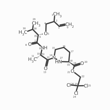 C=CC(C)CO[C@H](C(=O)N[C@@H](C)C(=O)N1CCC[C@@H](C(=O)OCC(Cl)(Cl)Cl)N1)C(C)C